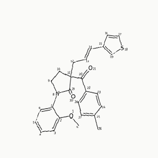 COc1ccccc1N1CCC(CC=Cc2ccsc2)(C(=O)c2ccc(C)cc2)C1=O